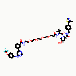 Cc1ncsc1-c1ccc(CNC(=O)[C@@H]2C[C@@H](O)CN2C(=O)C(NC(=O)CCOCCOCCOCCOCCNC(=O)c2cccc(-c3cc(Nc4ccc(OC(F)(F)F)cc4)ncn3)c2)C(C)(C)C)cc1